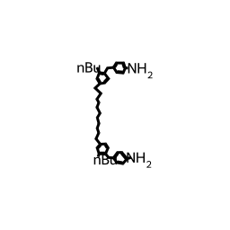 CCCCc1cc(CCCCCCCCCCCc2ccc(Cc3ccc(N)cc3)c(CCCC)c2)ccc1Cc1ccc(N)cc1